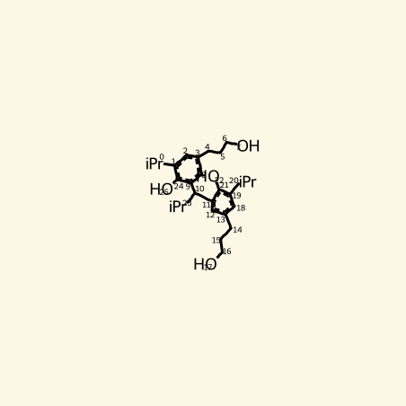 CC(C)c1cc(CCCO)cc(C(c2cc(CCCO)cc(C(C)C)c2O)C(C)C)c1O